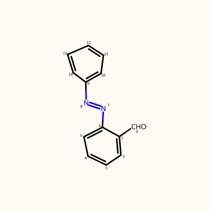 O=[C]c1ccccc1N=Nc1ccccc1